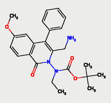 CCN(C(=O)OC(C)(C)C)n1c(CN)c(-c2ccccc2)c2cc(OC)ccc2c1=O